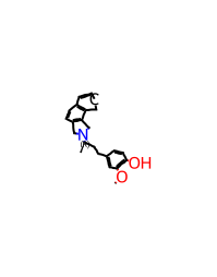 COc1cc(CC[C@@H](C)N2Cc3ccc4c(c3C2)CCC=C4)ccc1O